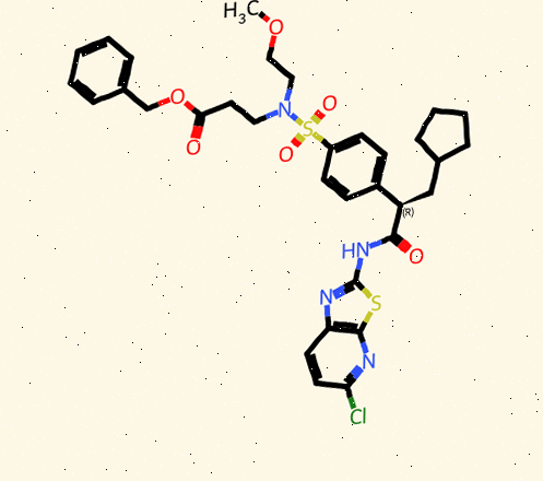 COCCN(CCC(=O)OCc1ccccc1)S(=O)(=O)c1ccc([C@@H](CC2CCCC2)C(=O)Nc2nc3ccc(Cl)nc3s2)cc1